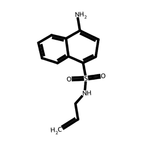 C=CCNS(=O)(=O)c1ccc(N)c2ccccc12